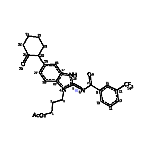 CC(=O)OCCCn1/c(=N/C(=O)c2cccc(C(F)(F)F)c2)[nH]c2cc(C3CCCCC3=O)ccc21